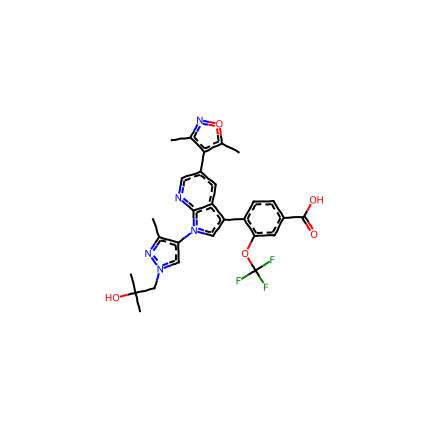 Cc1nn(CC(C)(C)O)cc1-n1cc(-c2ccc(C(=O)O)cc2OC(F)(F)F)c2cc(-c3c(C)noc3C)cnc21